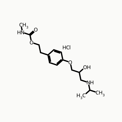 CNC(=O)OCCc1ccc(OCC(O)CNC(C)C)cc1.Cl